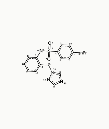 CCCc1ccc(S(=O)(=O)Nc2ccccc2Cn2cncn2)cc1